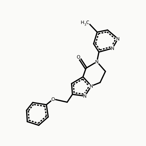 Cc1cnnc(N2CCn3nc(COc4ccccc4)cc3C2=O)c1